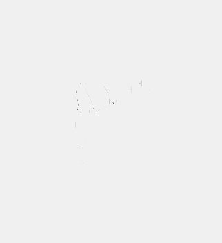 O.O.O.O.O=[N+]([O-])[O-].O=[N+]([O-])[O-].O=[N+]([O-])[O-].[Sc+3]